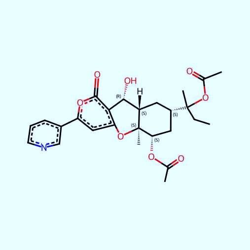 CCC(C)(OC(C)=O)[C@@H]1C[C@H](OC(C)=O)[C@@]2(C)Oc3cc(-c4cccnc4)oc(=O)c3[C@H](O)[C@@H]2C1